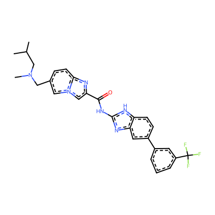 CC(C)CN(C)Cc1ccc2nc(C(=O)Nc3nc4cc(-c5cccc(C(F)(F)F)c5)ccc4[nH]3)cn2c1